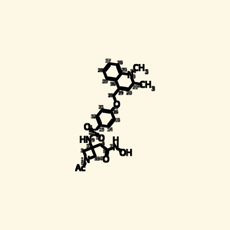 CC(=O)N1CC(CC(=O)NO)(NS(=O)(=O)c2ccc(OCC3=CC(C)N(C)c4ccccc43)cc2)C1